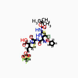 CC(C)(C)OC(=O)Nc1nc(/C(=N\OC2CCCC2)C(=O)NC2C(=O)N3C(C(=O)O)=C(/C=C/OS(=O)(=O)C(F)(F)F)CSC23)c(Cl)s1